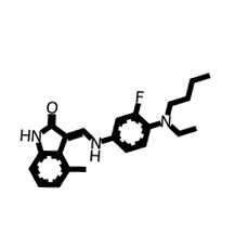 CCCCN(CC)c1ccc(N/C=C2/C(=O)Nc3cccc(C)c32)cc1F